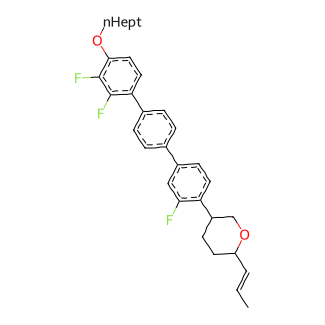 C/C=C/C1CCC(c2ccc(-c3ccc(-c4ccc(OCCCCCCC)c(F)c4F)cc3)cc2F)CO1